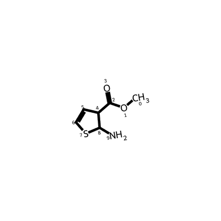 COC(=O)C1C=CSC1N